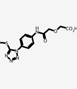 O=C(O)COCC(=O)Nc1ccc(-n2nnnc2SI)cc1